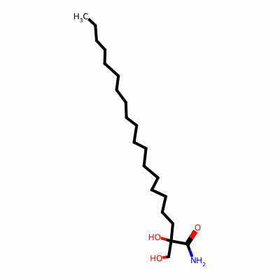 CCCCCCCCCCCCCCCCCCC(O)(CO)C(N)=O